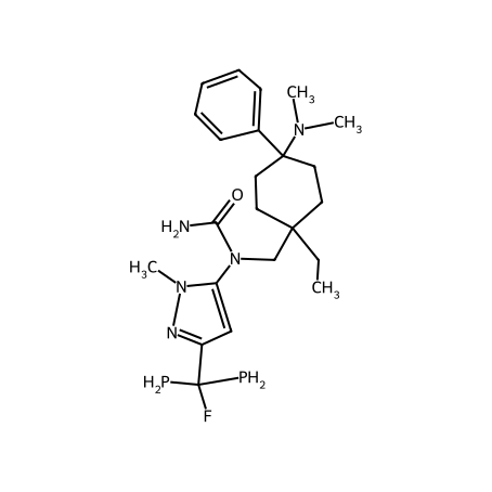 CCC1(CN(C(N)=O)c2cc(C(F)(P)P)nn2C)CCC(c2ccccc2)(N(C)C)CC1